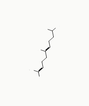 CC(=O)OC(C)CC/C=C(\C)CC/C=C(/C)C=O